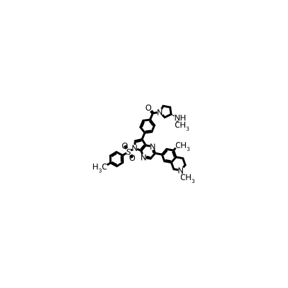 CN[C@H]1CCN(C(=O)c2ccc(-c3cn(S(=O)(=O)c4ccc(C)cc4)c4ncc(-c5cc(C)c6c(c5)CN(C)CC6)nc34)cc2)C1